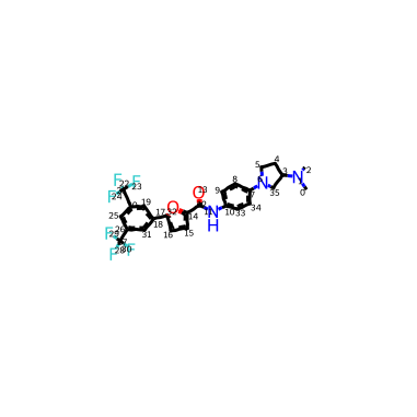 CN(C)C1CCN(c2ccc(NC(=O)c3ccc(-c4cc(C(F)(F)F)cc(C(F)(F)F)c4)o3)cc2)C1